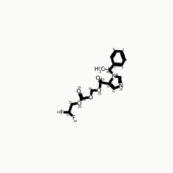 C[C@H](c1ccccc1)n1cncc1C(=O)OCOC(=O)OCC(F)F